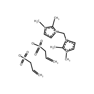 C=CCS(=O)(=O)[O-].C=CCS(=O)(=O)[O-].Cc1n(C)cc[n+]1C[n+]1ccn(C)c1C